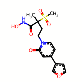 CC(CCn1ccc(-c2ccoc2)cc1=O)(C(=O)NO)S(C)(=O)=O